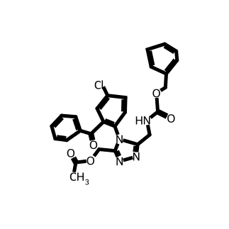 CC(=O)OCc1nnc(CNC(=O)OCc2ccccc2)n1-c1ccc(Cl)cc1C(=O)c1ccccc1